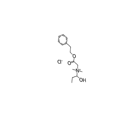 CCC(O)[N+](C)(C)CC(=O)OCCc1ccccc1.[Cl-]